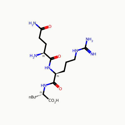 CCCC[C@H](NC(=O)[C@H](CCCNC(=N)N)NC(=O)[C@@H](N)CCC(N)=O)C(=O)O